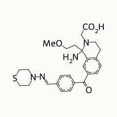 COCCC1(N)c2cc(C(=O)c3ccc(C=NN4CCSCC4)cc3)ccc2CCN1CC(=O)O